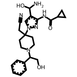 N#CCC1(n2cc(C(N)O)c(NC(=O)C3CC3)n2)CCN(C(CO)c2ccccc2)CC1